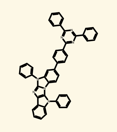 c1ccc(-c2nc(-c3ccccc3)nc(-c3ccc(-c4ccc5c(c4)n(-c4ccccc4)c4nc6c7ccccc7n(-c7ccccc7)c6n54)cc3)n2)cc1